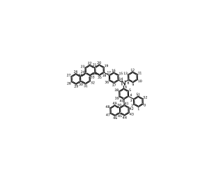 c1ccc(-c2cc(N(c3ccccc3)c3ccc(-c4ccc5ccc6c7ccccc7ccc6c5c4)cc3)ccc2-c2cccc3ccccc23)cc1